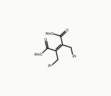 COC(=O)C(CC(C)C)=C(CC(C)C)C(=O)OC